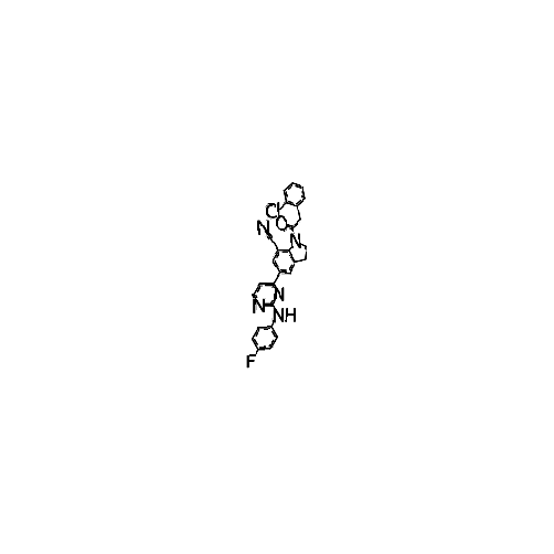 N#Cc1cc(-c2ccnc(Nc3ccc(F)cc3)n2)cc2c1N(C(=O)Cc1ccccc1Cl)CC2